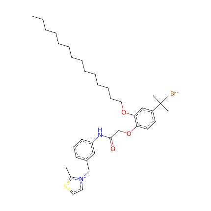 CCCCCCCCCCCCCCOc1cc(C(C)(C)C)ccc1OCC(=O)Nc1cccc(C[n+]2ccsc2C)c1.[Br-]